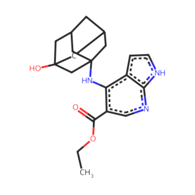 CCOC(=O)c1cnc2[nH]ccc2c1NC12CC3CC(CC(O)(C3)C1)C2